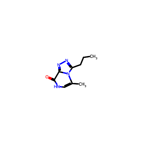 CCCc1nnc2c(=O)[nH]cc(C)n12